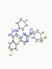 Fc1ccc(-c2ncn(C3CCCCC3)c2-c2ccnc(NC3CCC(F)(F)CC3)n2)cc1